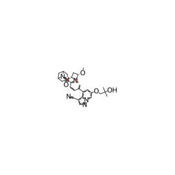 C=C(/C=C\C(=N/C)N1CC2CC(C1)N2C(=O)[C@H]1C[C@H](OC)C1)c1cc(OCC(C)(C)O)cn2ncc(C#N)c12